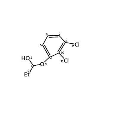 CC[C](O)Oc1cccc(Cl)c1Cl